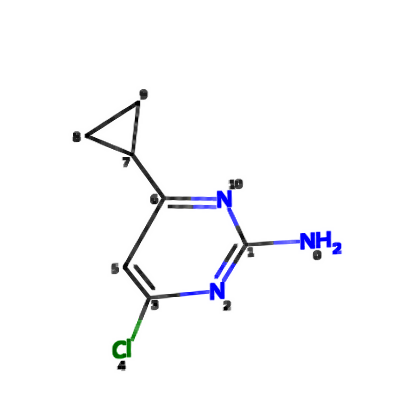 Nc1nc(Cl)cc(C2CC2)n1